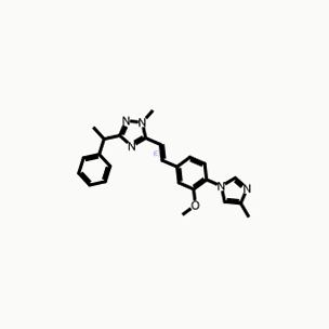 COc1cc(/C=C/c2nc(C(C)c3ccccc3)nn2C)ccc1-n1cnc(C)c1